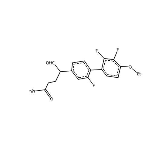 CCCC(=O)CCC(C=O)c1ccc(-c2ccc(OCC)c(F)c2F)c(F)c1